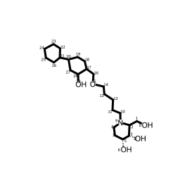 OCC1[C@H](O)[C@H](O)CCN1CCCCCOCC1CCC(C2CCCCC2)CC1O